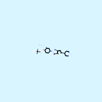 COc1cc(N2Cc3cc(-c4ccncc4)sc3C2=O)ccc1OCC(C)(C)O